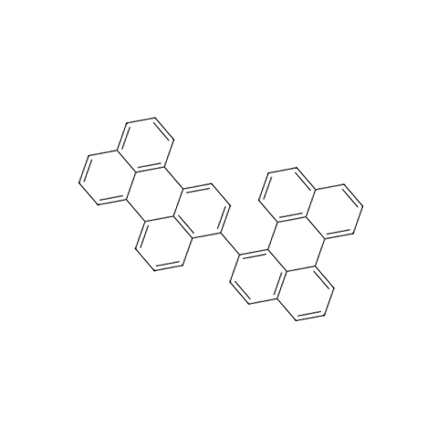 c1cc2cccc3c4ccc(-c5ccc6cccc7c8cccc9cccc(c5c67)c98)c5cccc(c(c1)c23)c54